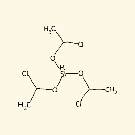 CC(Cl)O[SiH](OC(C)Cl)OC(C)Cl